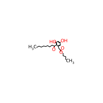 CCCCCCCCCC(=O)c1c(O)cc(O)cc1CC(=O)OCCCCC